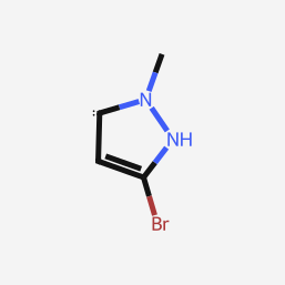 CN1[C]C=C(Br)N1